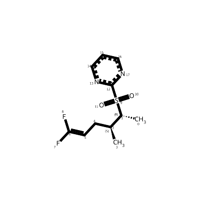 C[C@H]([C@@H](C)CC=C(F)F)S(=O)(=O)c1ncccn1